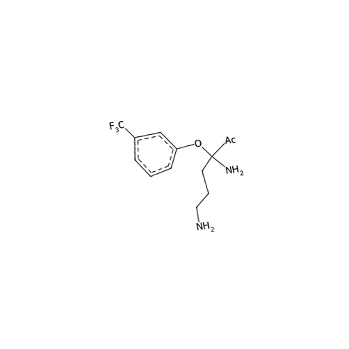 CC(=O)C(N)(CCCN)Oc1cccc(C(F)(F)F)c1